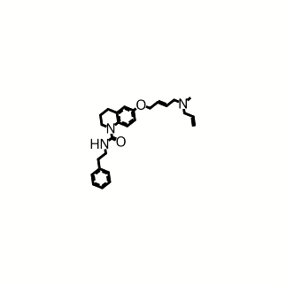 C=CCN(C)CC=CCOc1ccc2c(c1)CCCN2C(=O)NCCc1ccccc1